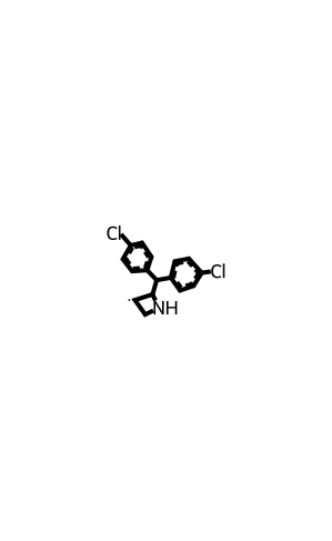 Clc1ccc(C(c2ccc(Cl)cc2)C2[CH]CN2)cc1